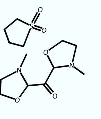 CN1CCOC1C(=O)C1OCCN1C.O=S1(=O)CCCC1